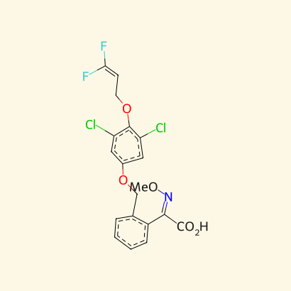 CO/N=C(/C(=O)O)c1ccccc1COc1cc(Cl)c(OCC=C(F)F)c(Cl)c1